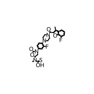 Cc1c(C(=O)N2CCN(c3ccc(N4CC(N(C)C(O)=S)OC4=O)cc3F)CC2)oc2c(F)cccc12